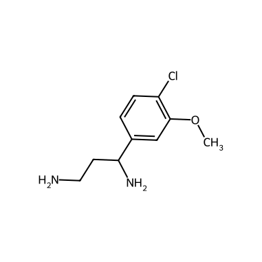 COc1cc(C(N)CCN)ccc1Cl